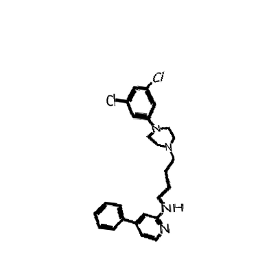 Clc1cc(Cl)cc(N2CCN(CCCCNc3cc(-c4ccccc4)ccn3)CC2)c1